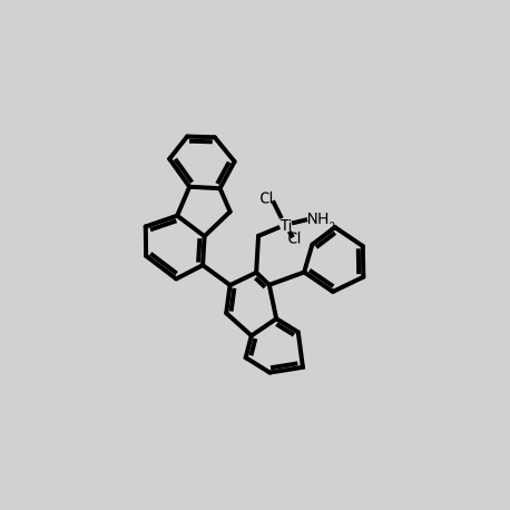 [NH2][Ti]([Cl])([Cl])[CH2]c1c(-c2cccc3c2Cc2ccccc2-3)cc2ccccc2c1-c1ccccc1